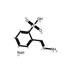 NN=Cc1ccccc1S(=O)(=O)O.[NaH]